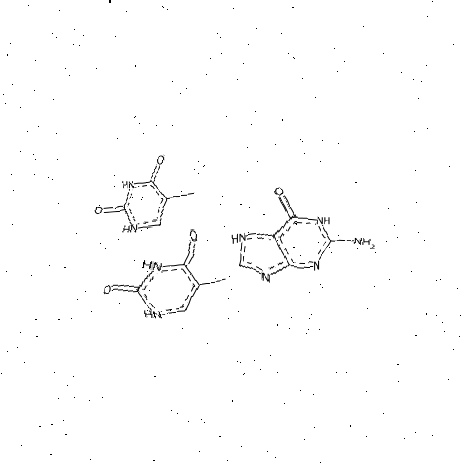 Cc1c[nH]c(=O)[nH]c1=O.Cc1c[nH]c(=O)[nH]c1=O.Nc1nc2nc[nH]c2c(=O)[nH]1